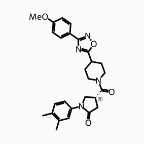 COc1ccc(-c2noc(C3CCN(C(=O)[C@@H]4CC(=O)N(c5ccc(C)c(C)c5)C4)CC3)n2)cc1